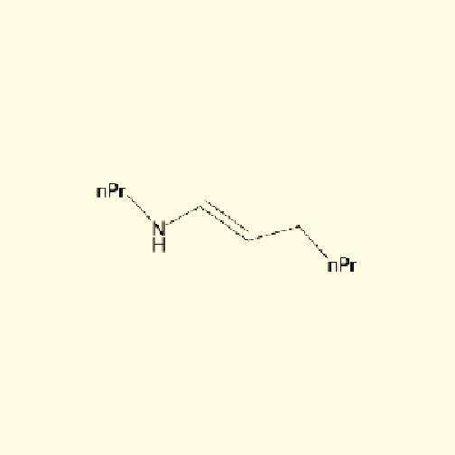 [CH2]CCC/C=C/NCCC